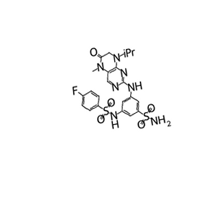 CC(C)N1CC(=O)N(C)c2cnc(Nc3cc(NS(=O)(=O)c4ccc(F)cc4)cc(S(N)(=O)=O)c3)nc21